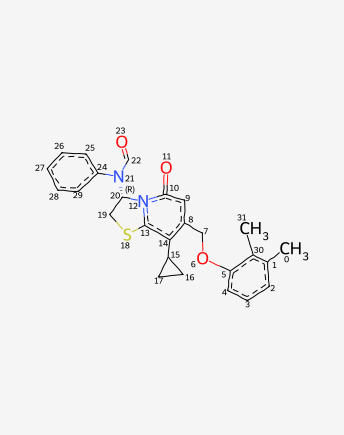 Cc1cccc(OCc2cc(=O)n3c(c2C2CC2)SC[C@@H]3N(C=O)c2ccccc2)c1C